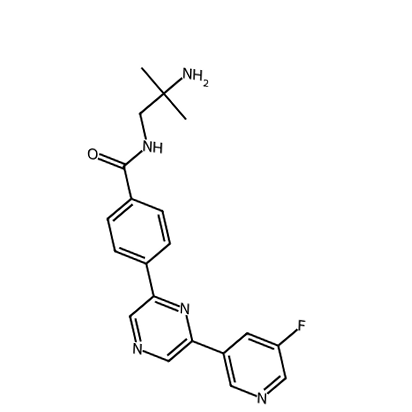 CC(C)(N)CNC(=O)c1ccc(-c2cncc(-c3cncc(F)c3)n2)cc1